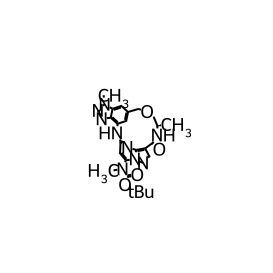 C[C@@H]1COCc2cc(c3nnn(C)c3c2)Nc2cc(N(C)C(=O)OC(C)(C)C)n3ncc(c3n2)C(=O)N1